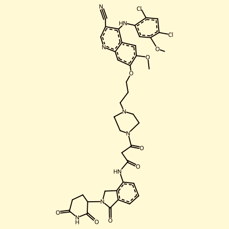 COc1cc(Nc2c(C#N)cnc3cc(OCCCN4CCN(C(=O)CC(=O)Nc5cccc6c5CN(C5CCC(=O)NC5=O)C6=O)CC4)c(OC)cc23)c(Cl)cc1Cl